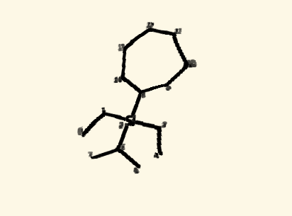 CC[Si](CC)(C(C)C)C1CCCCCC1